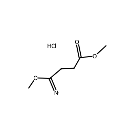 COC(=[N])CCC(=O)OC.Cl